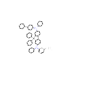 CC1C=CC=C(N(c2ccccc2)c2ccc3c(c2)C(c2ccccc2)(c2ccccc2)c2cc(N(c4ccccc4)c4ccc(-c5ccccc5)cc4)ccc2-3)C1